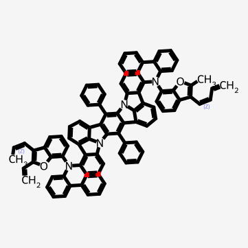 C=C/C=C\c1c(C)oc2c(N(c3ccccc3-c3ccccc3)c3cccc4c3c3cccc5c6c(-c7ccccc7)c7c(c(-c8ccccc8)c6n4c35)c3cccc4c5c(N(c6ccccc6-c6ccccc6)c6cccc8c(/C=C\C)c(C=C)oc68)cccc5n7c43)cccc12